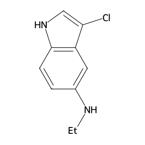 CCNc1ccc2[nH]cc(Cl)c2c1